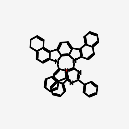 C1=Cc2c(ccc3c2c2ccc4c5c6ccccc6ccc5n(-c5nc(-c6ccccc6)nc(-c6ccccc6)n5)c4c2n3-c2ccc3ccccc3c2)CC1